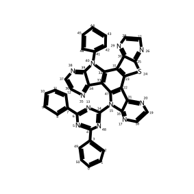 c1ccc(-c2nc(-c3ccccc3)nc(-n3c4nccnc4c4c5sc6nccnc6c5c5c(c6nccnc6n5-c5ccccc5)c43)n2)cc1